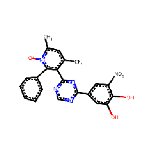 Cc1cc(C(F)(F)F)c(-c2ncnc(-c3cc(O)c(O)c([N+](=O)[O-])c3)n2)c(-c2ccccc2)[n+]1[O-]